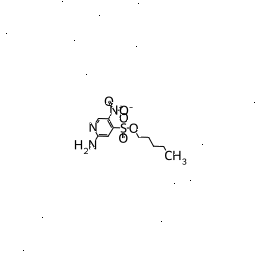 CCCCCOS(=O)(=O)c1cc(N)ncc1[N+](=O)[O-]